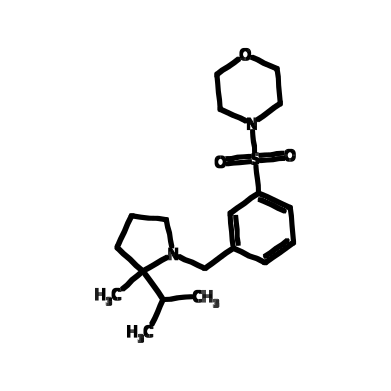 CC(C)C1(C)CCCN1Cc1cccc(S(=O)(=O)N2CCOCC2)c1